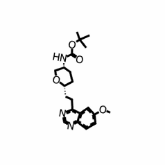 COc1ccc2ncnc(CC[C@H]3CC[C@@H](NC(=O)OC(C)(C)C)CO3)c2c1